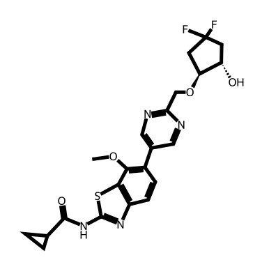 COc1c(-c2cnc(CO[C@H]3CC(F)(F)C[C@@H]3O)nc2)ccc2nc(NC(=O)C3CC3)sc12